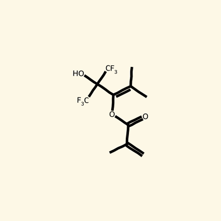 C=C(C)C(=O)OC(=C(C)C)C(O)(C(F)(F)F)C(F)(F)F